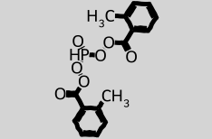 Cc1ccccc1C(=O)OO[PH](=O)OOC(=O)c1ccccc1C